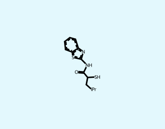 CC(C)CC(S)C(=O)Nc1nc2ccccc2s1